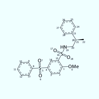 COc1ccc(S(=O)(=O)c2ccccc2)cc1S(=O)(=O)NC[C@H](C)c1ccccc1